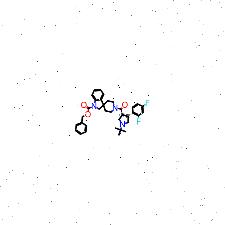 CC(C)(C)N1C[C@@H](C(=O)N2CCC3(CC2)CN(C(=O)OCc2ccccc2)c2ccccc23)[C@H](c2ccc(F)cc2F)C1